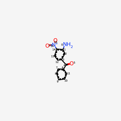 Nc1cc(C(=O)c2ccccc2)ccc1[N+](=O)[O-]